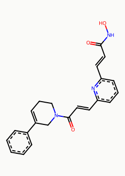 O=C(C=Cc1cccc(C=CC(=O)N2CCC=C(c3ccccc3)C2)n1)NO